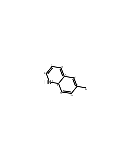 CC1=CC2=CC=CNC2C=C1